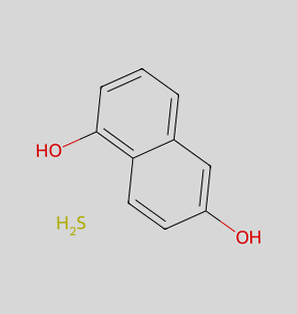 Oc1ccc2c(O)cccc2c1.S